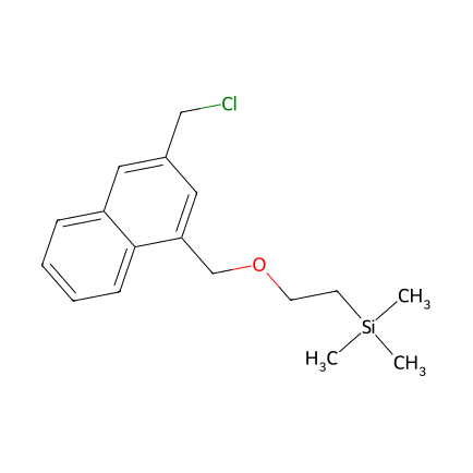 C[Si](C)(C)CCOCc1cc(CCl)cc2ccccc12